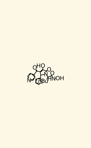 CCCCC(C(=O)NO)N1C(=O)C(O)=C(C(=O)c2ccncc2)C1c1cccs1